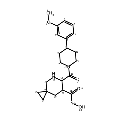 COc1cccc(C2CCN(C(=O)C3NCC4(CC4)CC3C(=O)NO)CC2)c1